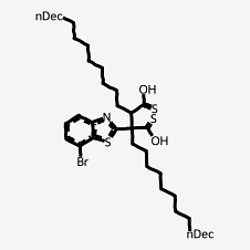 CCCCCCCCCCCCCCCCCCC(C(O)=S)C(CCCCCCCCCCCCCCCCCC)(C(O)=S)c1nc2cccc(Br)c2s1